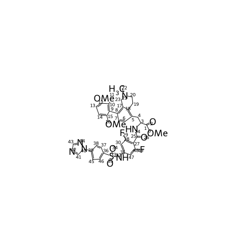 COC(=O)C(Cc1ccc(-c2c(OC)cccc2OC)c2c1CCN(C)C2)NC(=O)c1c(F)cc(NS(=O)(=O)c2ccc(-n3cncn3)cc2)cc1F